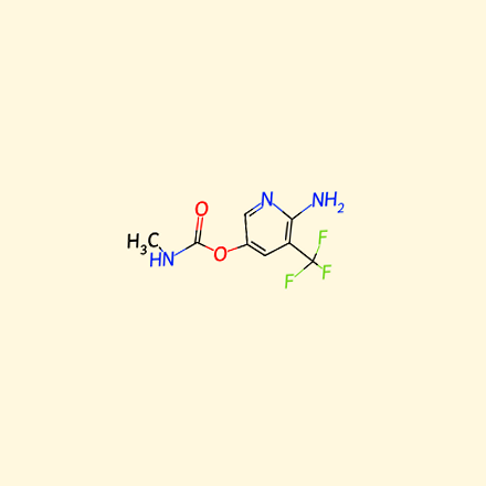 CNC(=O)Oc1cnc(N)c(C(F)(F)F)c1